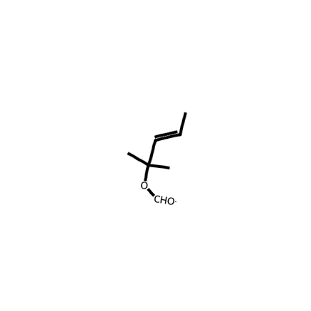 C/C=C/C(C)(C)O[C]=O